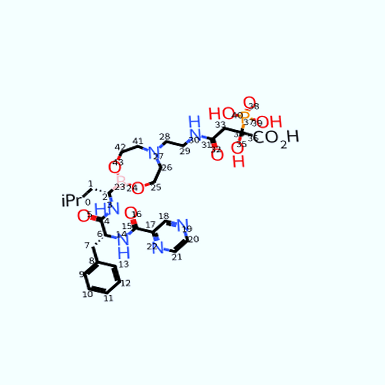 CC(C)C[C@@H](NC(=O)[C@@H](Cc1ccccc1)NC(=O)c1cnccn1)B1OCCN(CCNC(=O)CC(O)(C(=O)O)P(=O)(O)O)CCO1